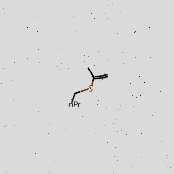 C=C(C)SCCCC